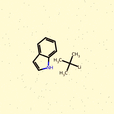 [Li][C](C)(C)C.c1ccc2[nH]ccc2c1